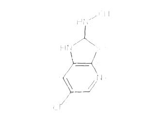 CNC1Nc2cc(Cl)cnc2S1